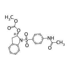 COC(=O)O[C@@H]1Cc2ccccc2N1S(=O)(=O)c1ccc(NC(C)=O)cc1